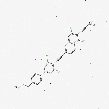 C=CCCc1ccc(-c2cc(F)c(C#Cc3ccc4c(F)c(C#CC(F)(F)F)c(F)cc4c3)c(F)c2)cc1